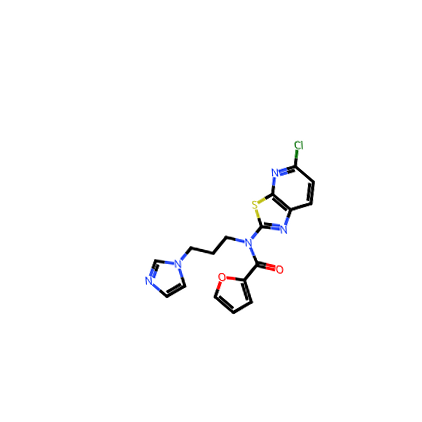 O=C(c1ccco1)N(CCCn1ccnc1)c1nc2ccc(Cl)nc2s1